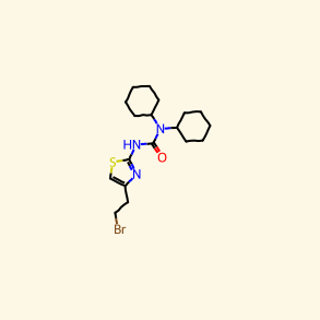 O=C(Nc1nc(CCBr)cs1)N(C1CCCCC1)C1CCCCC1